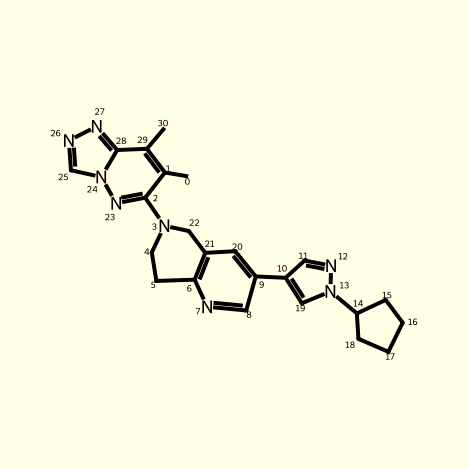 Cc1c(N2CCc3ncc(-c4cnn(C5CCCC5)c4)cc3C2)nn2cnnc2c1C